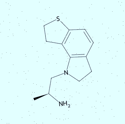 C[C@H](N)CN1CCc2ccc3c(c21)CCS3